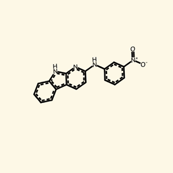 O=[N+]([O-])c1cccc(Nc2ccc3c(n2)[nH]c2ccccc23)c1